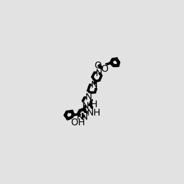 O=C(OCc1ccccc1)N1CCC(N2CCC(N3CCN4c5cc(-c6ccccc6O)nnc5NC[C@H]4C3)CC2)CC1